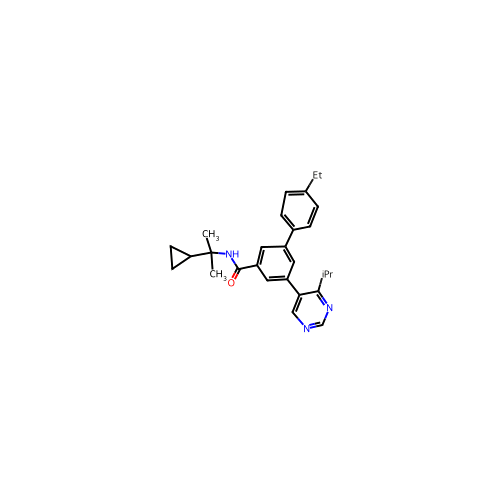 CCc1ccc(-c2cc(C(=O)NC(C)(C)C3CC3)cc(-c3cncnc3C(C)C)c2)cc1